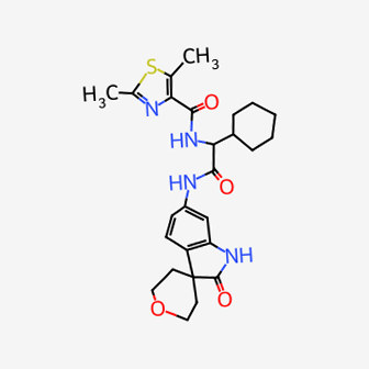 Cc1nc(C(=O)NC(C(=O)Nc2ccc3c(c2)NC(=O)C32CCOCC2)C2CCCCC2)c(C)s1